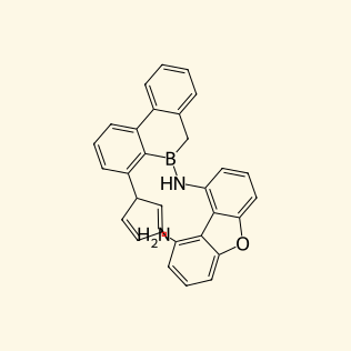 Nc1cccc2oc3cccc(NB4Cc5ccccc5-c5cccc(C6C=CC=C6)c54)c3c12